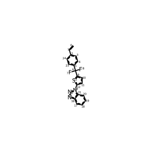 C=Cc1ccc(C(F)(F)c2ccc(-n3nnc4ccccc43)s2)cc1